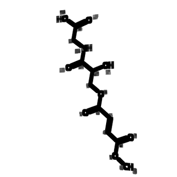 COC(=O)/C=C/C(=O)OCC(O)C(=O)NCC(=O)O